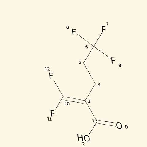 O=C(O)C(CCC(F)(F)F)=C(F)F